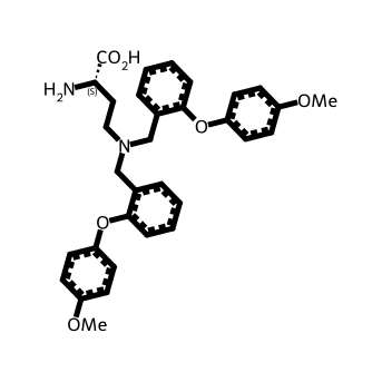 COc1ccc(Oc2ccccc2CN(CC[C@H](N)C(=O)O)Cc2ccccc2Oc2ccc(OC)cc2)cc1